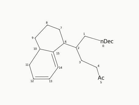 CCCCCCCCCCCC(CCC(C)=O)C1CCCC2CC=CC=C21